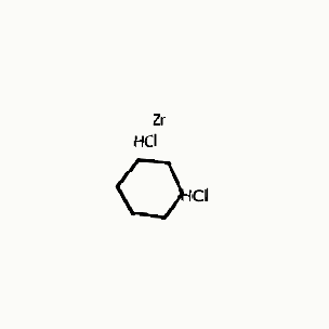 C1CCCCC1.Cl.Cl.[Zr]